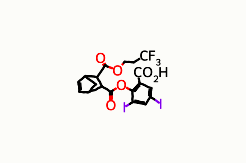 O=C(O)c1cc(I)cc(I)c1OC(=O)C1C2C=CC(C2)C1C(=O)OCCC(F)(F)F